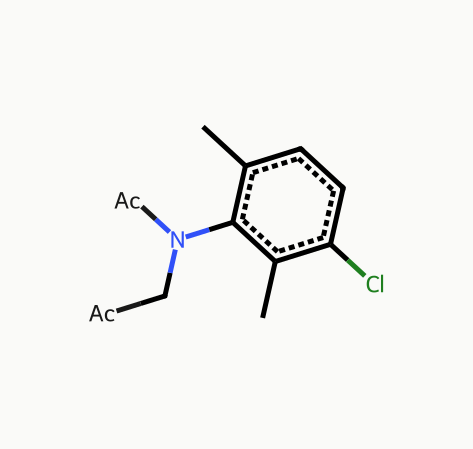 CC(=O)CN(C(C)=O)c1c(C)ccc(Cl)c1C